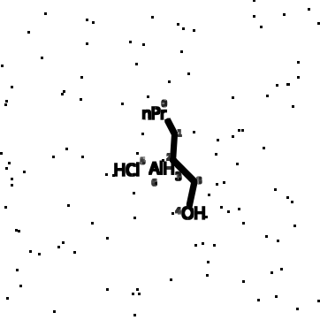 CCCCCCO.Cl.[AlH3]